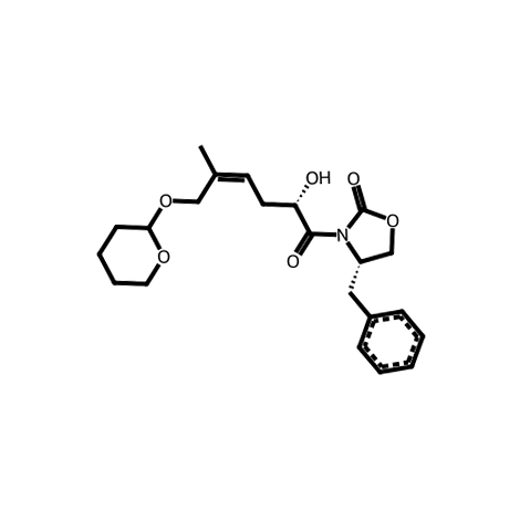 C/C(=C/C[C@H](O)C(=O)N1C(=O)OC[C@@H]1Cc1ccccc1)COC1CCCCO1